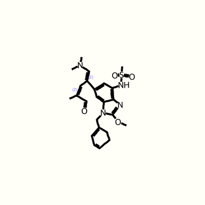 COc1nc2c(NS(C)(=O)=O)cc(C(/C=C(/C)C=O)=C/N(C)C)cc2n1CC1=CC=CCC1